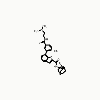 CN(C)CCNC(=O)c1cccc(-c2cccc3cc(C(=O)N[C@H]4CN5CCC4CC5)oc23)c1.Cl